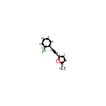 CCc1ccc(C#Cc2ccccc2F)o1